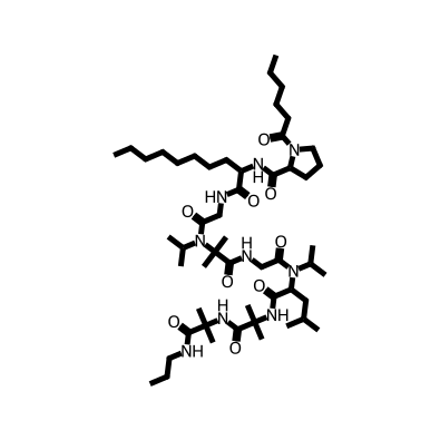 CCCCCCCCC(NC(=O)C1CCCN1C(=O)CCCCC)C(=O)NCC(=O)N(C(C)C)C(C)(C)C(=O)NCC(=O)N(C(C)C)C(CC(C)C)C(=O)NC(C)(C)C(=O)NC(C)(C)C(=O)NCCC